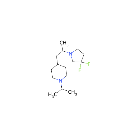 CC(C)N1CCC(CC(C)N2CCC(F)(F)C2)CC1